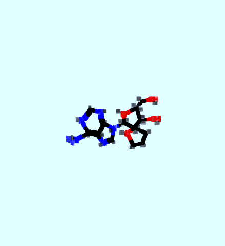 Nc1ncnc2c1ncn2[C@@H]1O[C@H](CO)[C@@H](O)[C@@]12CCCO2